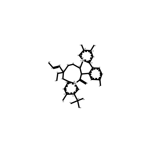 C=C1C2c3cc(C)ccc3-c3cc(C)c(C)c[n+]3C2CCC(C=CC)(CC)Cc2cc(C)c(C(C)(C)C)c[n+]21